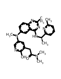 Cc1cccc([C@@H](C)Nc2nc(C)nc3ccc(N(C)c4cnc(O)c(CC(=O)N(C)C)c4)cc23)n1